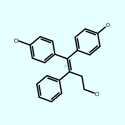 [O]c1ccc(/C(=C(\CCCl)c2ccccc2)c2ccc(Cl)cc2)cc1